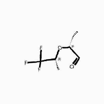 C[C@H](C=O)O[C@H](C)C(F)(F)F